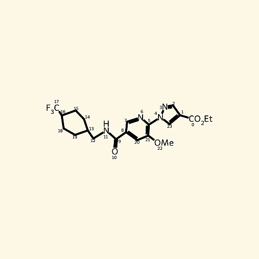 CCOC(=O)c1cnn(-c2ncc(C(=O)NCC3CCC(C(F)(F)F)CC3)cc2OC)c1